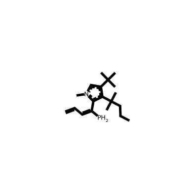 C=C/C=C(/P)c1c(C(C)(C)CCC)c(C(C)(C)C)cn1C